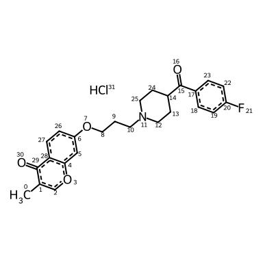 Cc1coc2cc(OCCCN3CCC(C(=O)c4ccc(F)cc4)CC3)ccc2c1=O.Cl